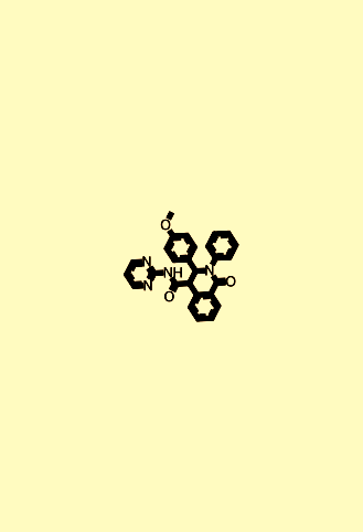 COc1ccc(C2C(C(=O)Nc3ncccn3)c3ccccc3C(=O)N2c2ccccc2)cc1